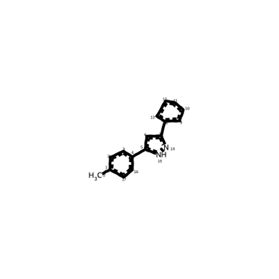 Cc1ccc(-c2cc(-c3ccccc3)n[nH]2)cc1